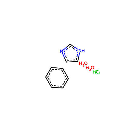 Cl.O.O.c1c[nH]cn1.c1ccccc1